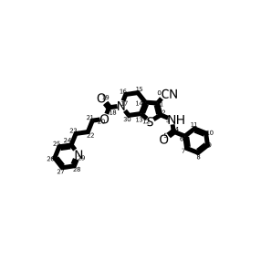 N#Cc1c(NC(=O)c2ccccc2)sc2c1CCN(C(=O)OCCCc1ccccn1)C2